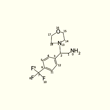 NCC(c1ccc(C(F)(F)F)cc1)N1CCOCC1